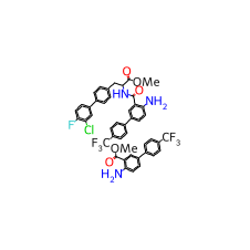 COC(=O)C(Cc1ccc(-c2ccc(F)c(Cl)c2)cc1)NC(=O)c1cc(-c2ccc(C(F)(F)F)cc2)ccc1N.COC(=O)c1cc(-c2ccc(C(F)(F)F)cc2)ccc1N